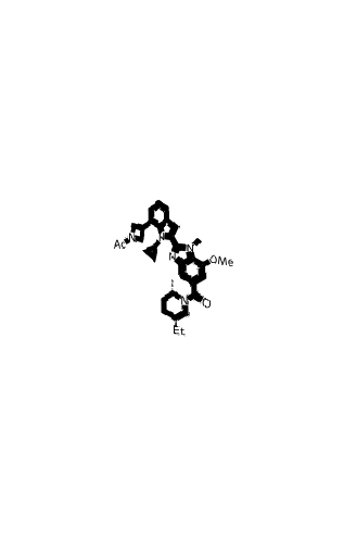 CC[C@@H]1CC[C@H](C)N(C(=O)c2cc(OC)c3c(c2)nc(-c2cc4cccc(C5CN(C(C)=O)C5)c4n2C2CC2)n3C)C1